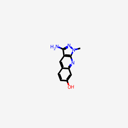 Cn1nc(N)c2cc3ccc(O)cc3nc21